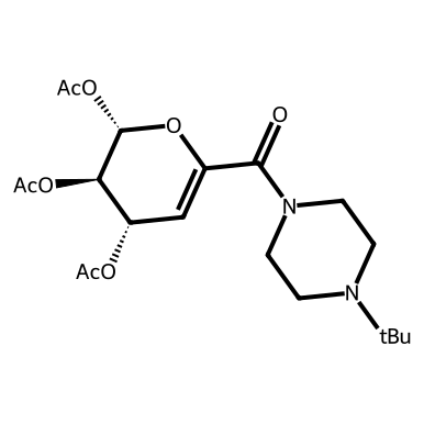 CC(=O)O[C@@H]1OC(C(=O)N2CCN(C(C)(C)C)CC2)=C[C@H](OC(C)=O)[C@H]1OC(C)=O